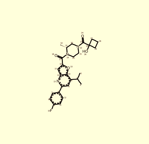 CC(C)c1cc(-c2ccc(F)cc2)nc2cc(C(=O)N3CCN(C(=O)C4(O)CCC4)C[C@H]3C)oc12